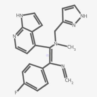 C=N/C(=C(/c1ccnc2[nH]ccc12)N(C)Cc1cc[nH]n1)c1ccc(F)cc1